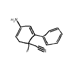 N#CC1(F)CC=C(N)C=C1c1ccccc1